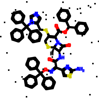 Nc1nc(/C(=N/OC(c2ccccc2)(c2ccccc2)c2ccccc2)C(=O)N[C@@H]2C(=O)N3C(C(=O)OC(c4ccccc4)c4ccccc4)=C(SCc4cncn4C(c4ccccc4)(c4ccccc4)c4ccccc4)CS[C@H]23)cs1